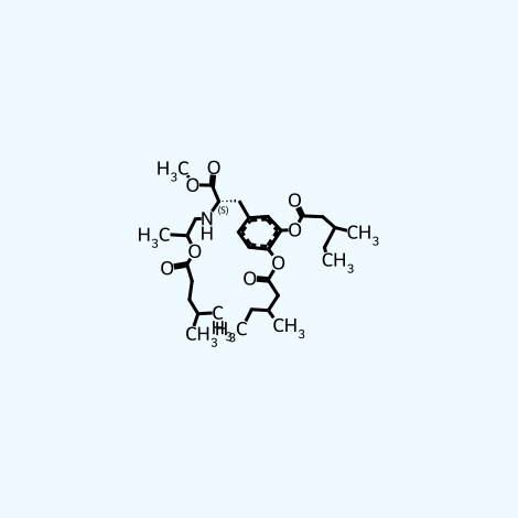 CCC(C)CC(=O)Oc1ccc(C[C@H](NCC(C)OC(=O)CCC(C)C)C(=O)OC)cc1OC(=O)CC(C)CC